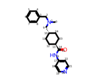 CN(Cc1ccccc1)C[C@H]1CC[C@H](C(=O)Nc2ccncc2)CC1